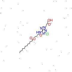 CCCCCCCCCCCC(=O)OCCCC(=O)Nc1nc(Cl)nc2c1ncn2CCC(CO)OC